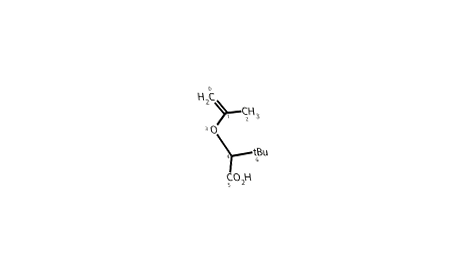 C=C(C)OC(C(=O)O)C(C)(C)C